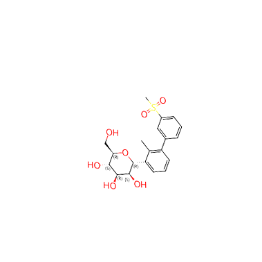 Cc1c(-c2cccc(S(C)(=O)=O)c2)cccc1[C@H]1O[C@H](CO)[C@@H](O)[C@H](O)[C@@H]1O